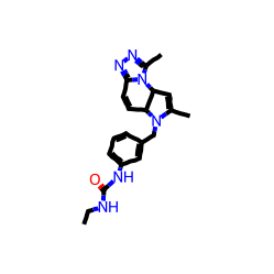 CCNC(=O)Nc1cccc(CN2C(C)=CC3C2C=Cc2nnc(C)n23)c1